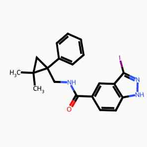 CC1(C)CC1(CNC(=O)c1ccc2[nH]nc(I)c2c1)c1ccccc1